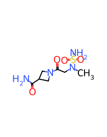 CN(CC(=O)N1CC(C(N)=O)C1)S(N)(=O)=O